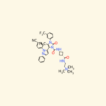 Cc1c(-c2ccnn2-c2ccc(C#N)cc2)n(C(=O)N[C@H]2C[C@@H](C(=O)NCC[N+](C)(C)C)C2)c(=O)n1-c1cccc(C(F)(F)F)c1.c1ccccc1